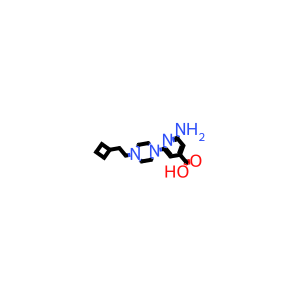 Nc1cc(C(=O)O)cc(N2CCN(CCC3CCC3)CC2)n1